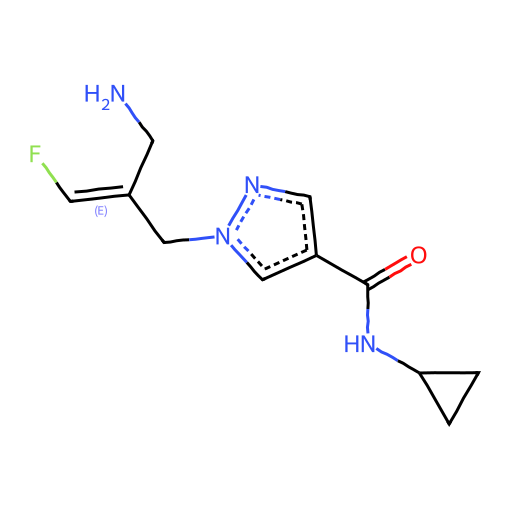 NC/C(=C\F)Cn1cc(C(=O)NC2CC2)cn1